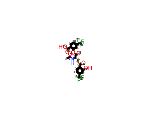 CC(=O)N[C@@H](CSC(=O)c1ccc(C(F)(F)F)cc1O)C(=O)Oc1cc(C(F)(F)F)ccc1C(=O)O